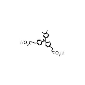 Cc1ccc(N(c2ccc(CCC(=O)O)cc2)c2ccc(CCC(=O)O)cc2)cc1C